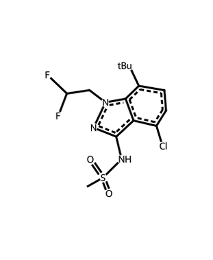 CC(C)(C)c1ccc(Cl)c2c(NS(C)(=O)=O)nn(CC(F)F)c12